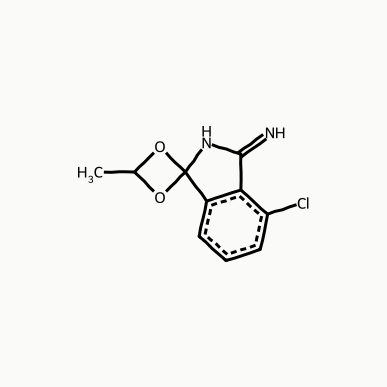 CC1OC2(NC(=N)c3c(Cl)cccc32)O1